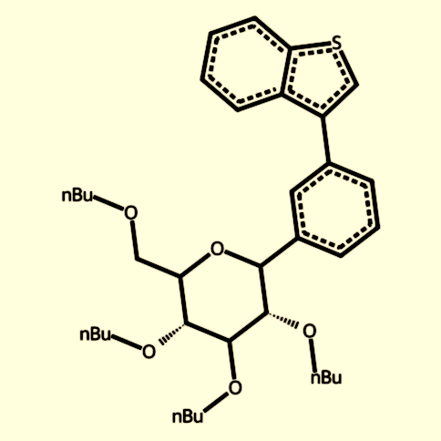 CCCCOCC1OC(c2cccc(-c3csc4ccccc34)c2)[C@H](OCCCC)C(OCCCC)[C@@H]1OCCCC